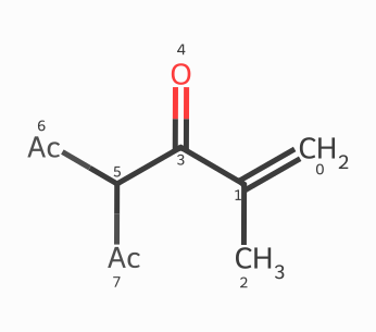 C=C(C)C(=O)C(C(C)=O)C(C)=O